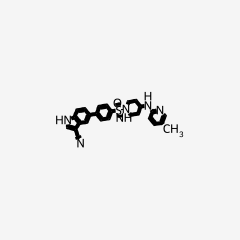 Cc1ccc(NC2CCN([S@@](=N)(=O)c3ccc(-c4ccc5[nH]cc(C#N)c5c4)cc3)CC2)nc1